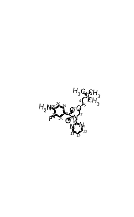 C[Si](C)(C)CCOCN(c1ncccn1)S(=O)(=O)c1ccc(N)c(F)c1